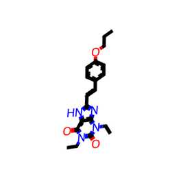 CCCOc1ccc(/C=C/c2nc3c([nH]2)c(=O)n(CC)c(=O)n3CC)cc1